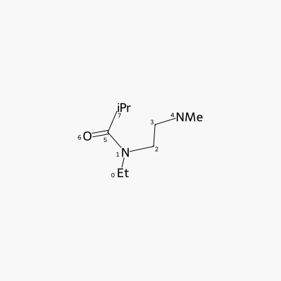 CCN(CCNC)C(=O)C(C)C